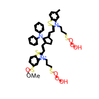 COOSc1ccc2sc(/C=C/C3=C(N(c4ccccc4)c4ccccc4)C(=C/C=C4\Sc5ccc(C)cc5N4CCCSOOO)/CC3)[n+](CCCSOOO)c2c1